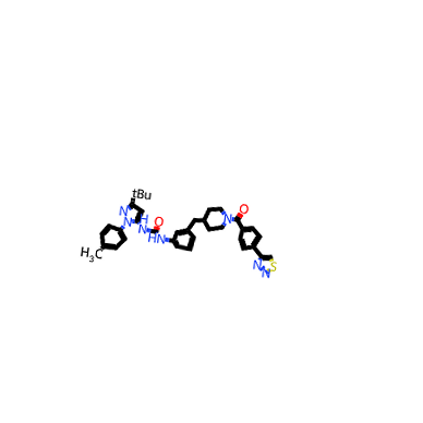 Cc1ccc(-n2nc(C(C)(C)C)cc2NC(=O)Nc2cccc(CC3CCN(C(=O)c4ccc(-c5csnn5)cc4)CC3)c2)cc1